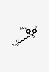 COC(=O)CCCCCCCN(C(=O)c1ccc(F)cc1)c1ccc(OC)cc1